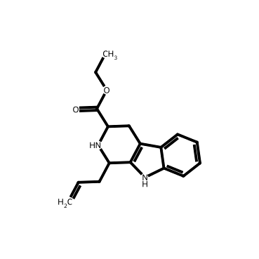 C=CCC1NC(C(=O)OCC)Cc2c1[nH]c1ccccc21